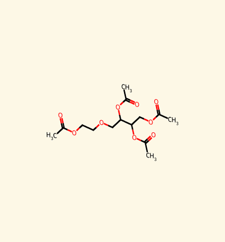 CC(=O)OCCOCC(OC(C)=O)C(COC(C)=O)OC(C)=O